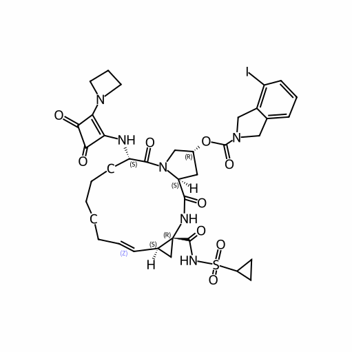 O=C1N[C@]2(C(=O)NS(=O)(=O)C3CC3)C[C@H]2/C=C\CCCCC[C@H](Nc2c(N3CCC3)c(=O)c2=O)C(=O)N2C[C@H](OC(=O)N3Cc4cccc(I)c4C3)C[C@@H]12